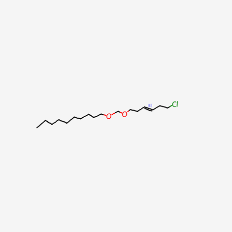 CCCCCCCCCCOCOCC/C=C/CCCl